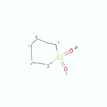 O=S1(=O)C[C]CCC1